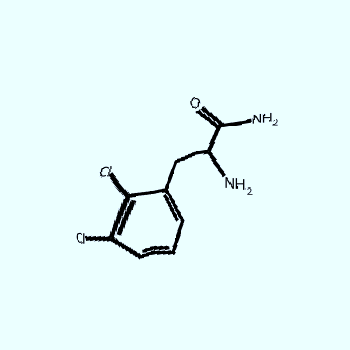 NC(=O)C(N)Cc1cccc(Cl)c1Cl